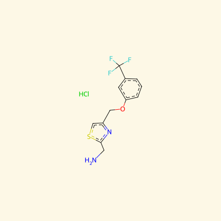 Cl.NCc1nc(COc2cccc(C(F)(F)F)c2)cs1